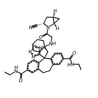 CCNC(=O)c1ccc2c(c1)CCc1cc(C(=O)NCC)ccc1C2(CC1(NCC(=O)N2[C@H](C#N)C[C@@H]3C[C@@H]32)CCCCC1)c1nnn[nH]1